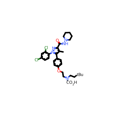 Cc1c(C(=O)NN2CCCCC2)nn(-c2ccc(Cl)cc2Cl)c1-c1ccc(OCCN(CCC(C)(C)C)C(=O)O)cc1